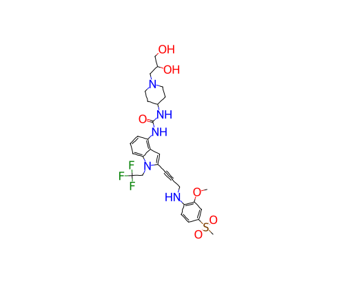 COc1cc(S(C)(=O)=O)ccc1NCC#Cc1cc2c(NC(=O)NC3CCN(CC(O)CO)CC3)cccc2n1CC(F)(F)F